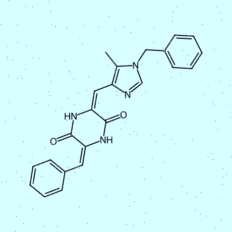 Cc1c(C=c2[nH]c(=O)c(=Cc3ccccc3)[nH]c2=O)ncn1Cc1ccccc1